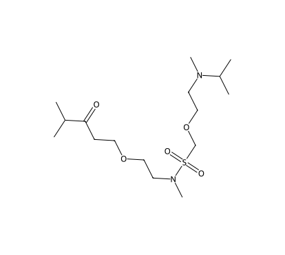 CC(C)C(=O)CCOCCN(C)S(=O)(=O)COCCN(C)C(C)C